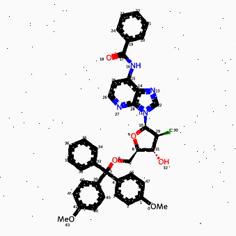 COc1ccc(C(OC[C@H]2O[C@@H](n3cnc4c(NC(=O)c5ccccc5)ccnc43)[C@@H](F)[C@@H]2O)(c2ccccc2)c2ccc(OC)cc2)cc1